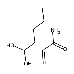 C=CC(N)=O.CCCCC(O)O